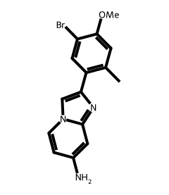 COc1cc(C)c(-c2cn3ccc(N)cc3n2)cc1Br